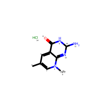 CCCN1C=C(C)C=C2C(=O)NC(N)N=C21.Cl